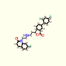 O=C1OC(CCNCCn2c(=O)ccc3ccc(F)cc32)c2ccc(-c3ccc(F)cc3F)cc21